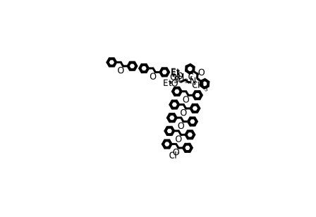 CCO[Si](CCC[N+](C)(C)C(C(=O)c1ccccc1)c1ccccc1)(OCC)OCC.O=C(Cc1ccccc1)c1ccccc1.O=C(Cc1ccccc1)c1ccccc1.O=C(Cc1ccccc1)c1ccccc1.O=C(Cc1ccccc1)c1ccccc1.O=C(Cc1ccccc1)c1ccccc1.O=C(Cc1ccccc1)c1ccccc1.O=C(Cc1ccccc1)c1ccccc1.[Cl-]